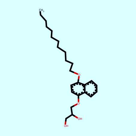 CCCCCCCCCCCCOc1ccc(OCC(O)CO)c2ccccc12